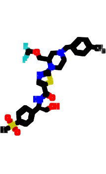 CCS(=O)(=O)c1ccc([C@H](CO)NC(=O)c2cnc(N3CCN(Cc4ccc(C(F)(F)F)cc4)CC3COC(F)F)s2)cc1